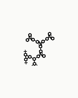 Cc1cc(C)cc(-c2cc(-c3ccc(N(c4ccccc4)c4ccc(-c5ccc(N(c6ccc(-c7ccc(N(c8ccccc8)c8ccccc8)cc7)cc6)c6ccc(-c7ccc(N(c8ccccc8)c8ccccc8)cc7)cc6)cc5)cc4)cc3)cc(-c3ccc4c(c3)c3cc(C(C)(C)C)ccc3c3ccc(C(C)(C)C)cc34)c2)c1